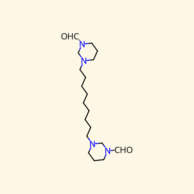 O=CN1CCCN(CCCCCCCCCN2CCCN(C=O)C2)C1